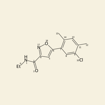 CCNC(=O)c1cc(-c2cc(Cl)c(C)cc2C)on1